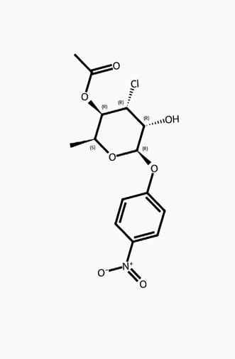 CC(=O)O[C@H]1[C@H](Cl)[C@H](O)[C@@H](Oc2ccc([N+](=O)[O-])cc2)O[C@H]1C